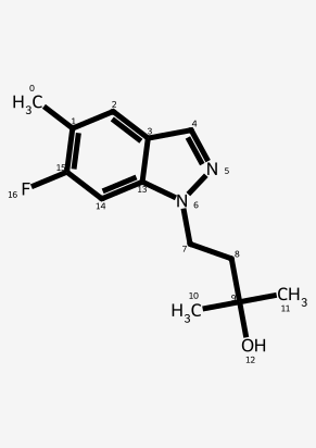 Cc1cc2cnn(CCC(C)(C)O)c2cc1F